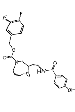 O=C(NCC1CN(C(=O)OCc2ccc(F)c(F)c2)CCO1)c1ccc(O)cc1